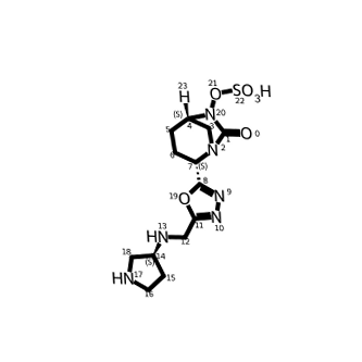 O=C1N2C[C@H](CC[C@H]2c2nnc(CN[C@H]3CCNC3)o2)N1OS(=O)(=O)O